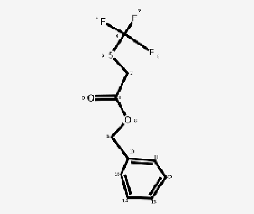 O=C(CSC(F)(F)F)OCc1ccccc1